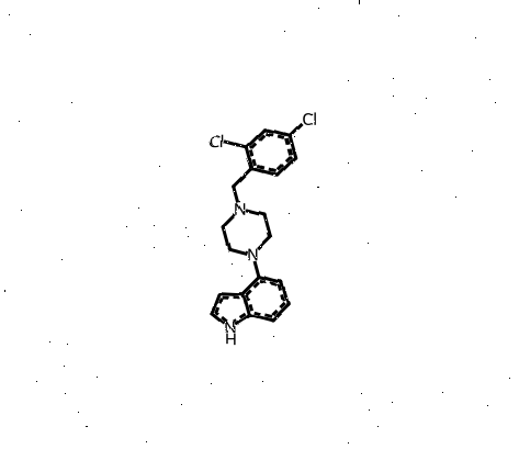 Clc1ccc(CN2CCN(c3cccc4[nH]ccc34)CC2)c(Cl)c1